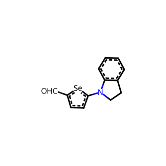 O=Cc1ccc(N2CCc3ccccc32)[se]1